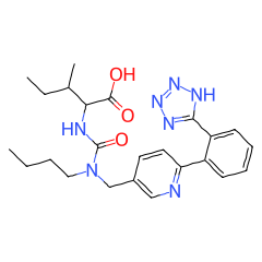 CCCCN(Cc1ccc(-c2ccccc2-c2nnn[nH]2)nc1)C(=O)NC(C(=O)O)C(C)CC